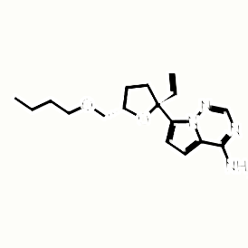 C=C[C@]1(c2ccc3c(N)ncnn23)CC[C@@H](COCCCC)O1